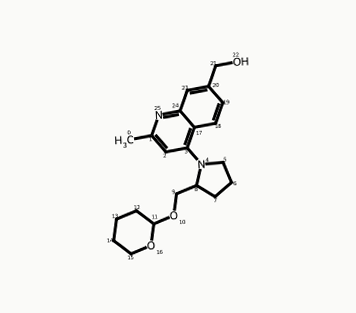 Cc1cc(N2CCCC2COC2CCCCO2)c2ccc(CO)cc2n1